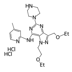 CCOCCn1nc(COCC)c2nc(N3CCNCC3)nc(Nc3cc(C)ccn3)c21.Cl.Cl